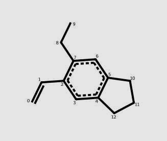 C=Cc1cc2c(cc1CC)CCC2